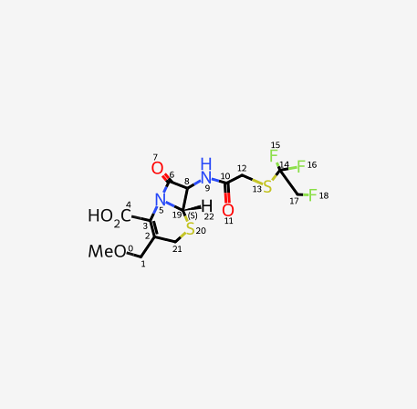 COCC1=C(C(=O)O)N2C(=O)C(NC(=O)CSC(F)(F)CF)[C@@H]2SC1